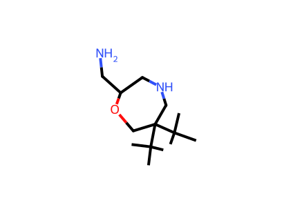 CC(C)(C)C1(C(C)(C)C)CNCC(CN)OC1